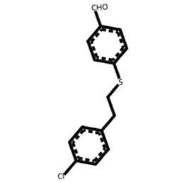 O=Cc1ccc(SCCc2ccc(Cl)cc2)cc1